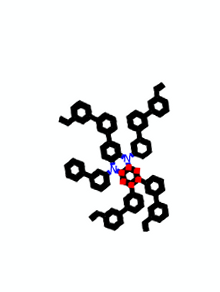 C=Cc1cccc(-c2cccc(C3=CCCC(N(c4cccc(-c5cccc(-c6cccc(C=C)c6)c5)c4)c4cc(-c5cccc(-c6cccc(C=C)c6)c5)ccc4N(C4=C=C=CC(c5ccccc5)=C4)c4cccc(-c5cccc(-c6cccc(C=C)c6)c5)c4)=C3)c2)c1